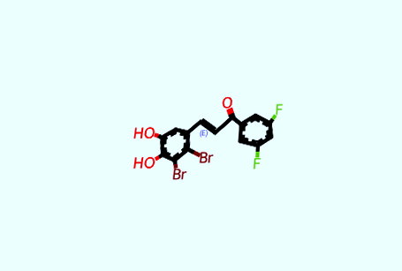 O=C(/C=C/c1cc(O)c(O)c(Br)c1Br)c1cc(F)cc(F)c1